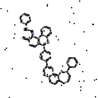 N=C1C=Cc2c(-c3ccc(-c4ccc5ccc6c(c5n4)N=C(c4ccccc4)C=CC6)cc3)nc3ccccc3c2/C1=N/Nc1ccccc1